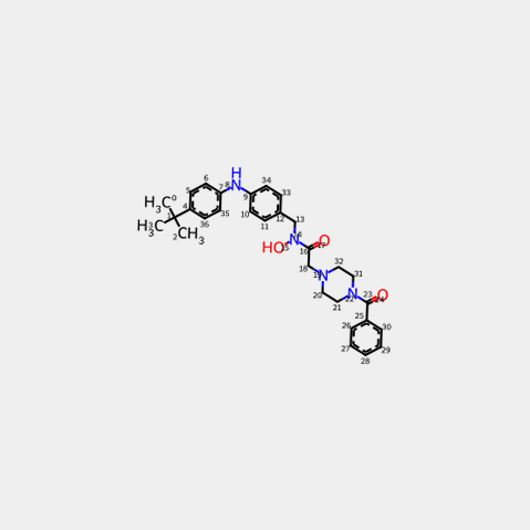 CC(C)(C)c1ccc(Nc2ccc(CN(O)C(=O)CN3CCN(C(=O)c4ccccc4)CC3)cc2)cc1